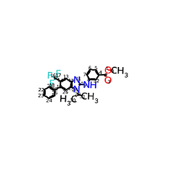 COC(=O)c1cccc(Nc2nc3cc(C(F)(F)F)c(-c4ccccc4)cc3n2C(C)C)c1